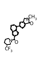 CN1Cc2cc(-c3cccc4cc(C(=O)N5CCC[C@H](C(F)(F)F)C5)ccc34)ccc2C1=O